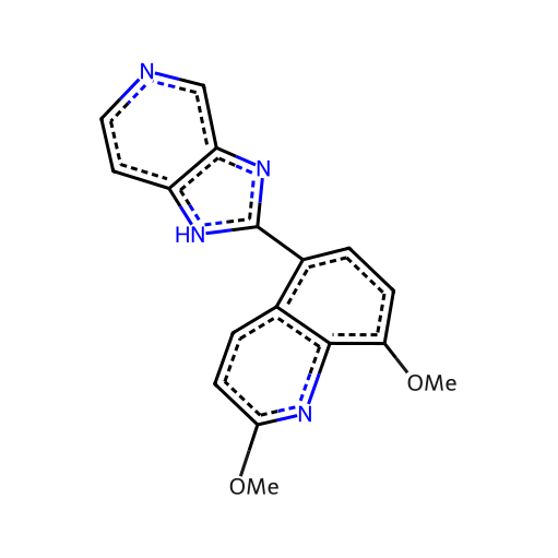 COc1ccc2c(-c3nc4cnccc4[nH]3)ccc(OC)c2n1